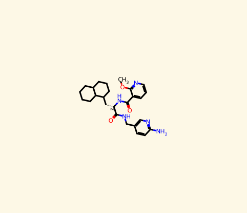 COc1ncccc1C(=O)N[C@@H](CC1CCCC2CCCCC21)C(=O)NCc1ccc(N)nc1